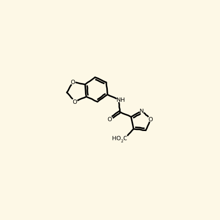 O=C(O)c1conc1C(=O)Nc1ccc2c(c1)OCO2